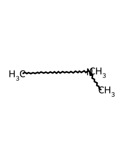 CCCCCCCCCCCCCCCCCCCCCCCCCCCCCCCCN(C)CCCCCCCCCC